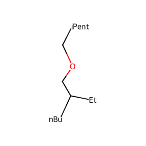 CCCCC(CC)COCC(C)CCC